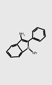 CCCn1c(-c2ccccc2)c(N)c2ccccc21